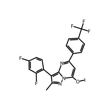 Cc1nn2c(OI)cc(-c3ccc(C(F)(F)F)cc3)nc2c1-c1ccc(F)cc1F